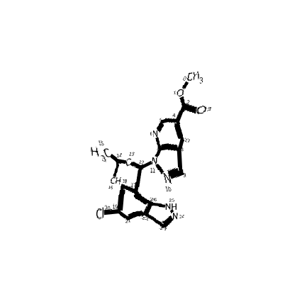 COC(=O)c1cnc2c(cnn2C(CC(C)C)c2cc(Cl)cc3cn[nH]c23)c1